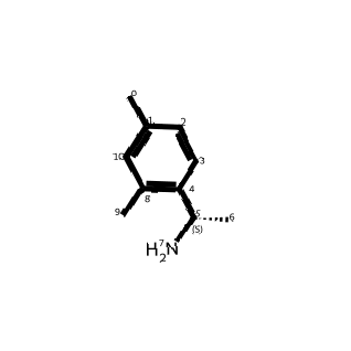 Cc1ccc([C@H](C)N)c(C)c1